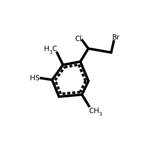 Cc1cc(S)c(C)c(C(Cl)CBr)c1